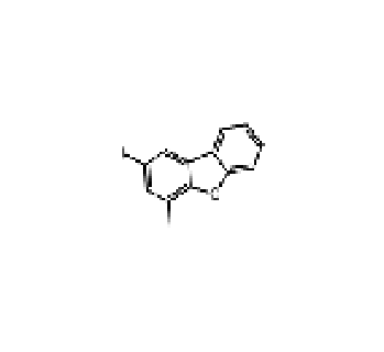 Cc1cc(I)cc2c1oc1ccccc12